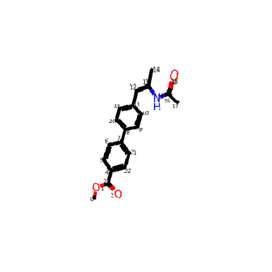 COC(=O)c1ccc(-c2ccc(CC(C)NC(C)=O)cc2)cc1